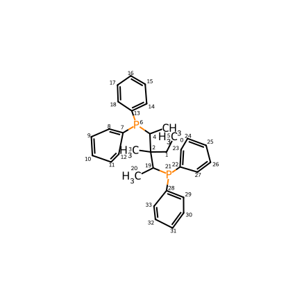 CCC(C)(C(C)P(c1ccccc1)c1ccccc1)C(C)P(c1ccccc1)c1ccccc1